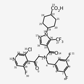 O=C(CN(Cc1cc(F)cc(F)c1)C(=O)c1cnn(C2CCC(C(=O)O)CC2)c1C(F)(F)F)c1c(F)cncc1Cl